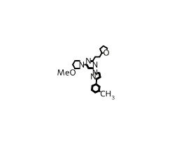 COC1CCCN(c2cc(-n3ccc(-c4cccc(C)c4)n3)nc(CCC3CCCO3)n2)C1